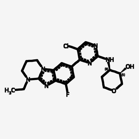 CCN1CCCn2c1nc1c(F)cc(-c3nc(N[C@@H]4CCOC[C@H]4O)ncc3Cl)cc12